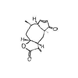 C=C1C(=O)O[C@@H]2C[C@@H](C)[C@@H]3C=CC(=O)[C@@]3(C)C[C@H]12